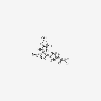 CN(C)C(=O)[C@H](CCO)Nc1cc(-c2cnc(NC(=O)C3CC3)cn2)cnc1C#N